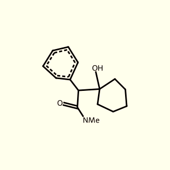 CNC(=O)C(c1ccccc1)C1(O)CCCCC1